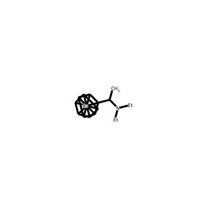 CCN(CC)C(C)[C]12[CH]3[CH]4[CH]5[CH]1[Ru]45321678[CH]2[CH]1[CH]6[CH]7[CH]28